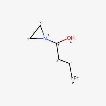 CCCCCC(O)N1CC1